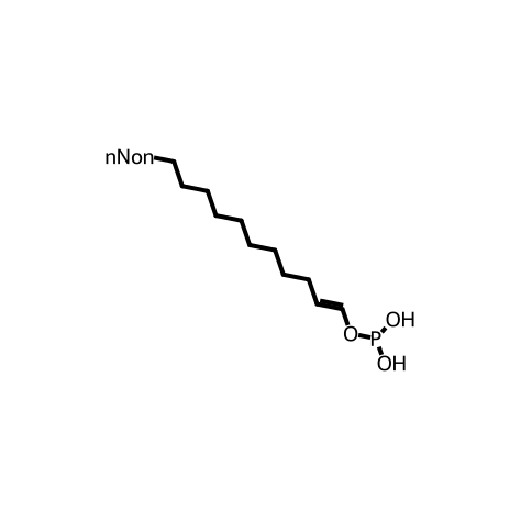 CCCCCCCCCCCCCCCCCCC=COP(O)O